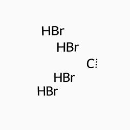 Br.Br.Br.Br.[C]